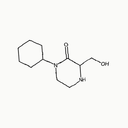 O=C1C(CO)NCCN1C1CCCCC1